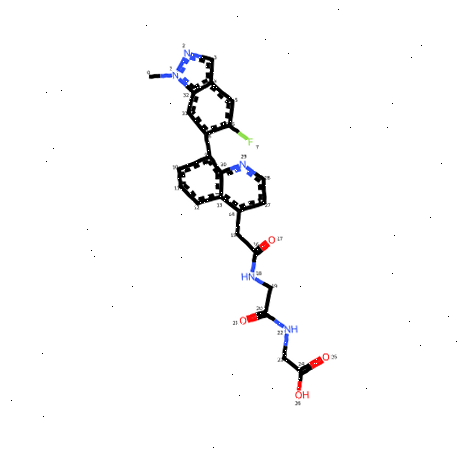 Cn1ncc2cc(F)c(-c3cccc4c(CC(=O)NCC(=O)NCC(=O)O)ccnc34)cc21